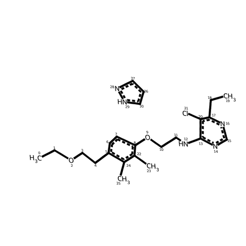 CCOCCc1ccc(OCCNc2ncnc(CC)c2Cl)c(C)c1C.c1cn[nH]c1